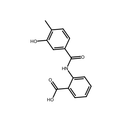 Cc1ccc(C(=O)Nc2ccccc2C(=O)O)cc1O